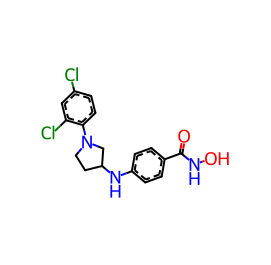 O=C(NO)c1ccc(NC2CCN(c3ccc(Cl)cc3Cl)C2)cc1